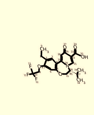 CCc1cc2c(cc1OCC(F)(F)F)OC[C@@H](C(C)C)n1cc(C(=O)O)c(=O)cc1-2